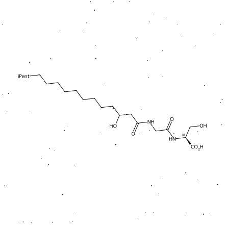 CCCC(C)CCCCCCCCCC(O)CC(=O)NCC(=O)N[C@@H](CO)C(=O)O